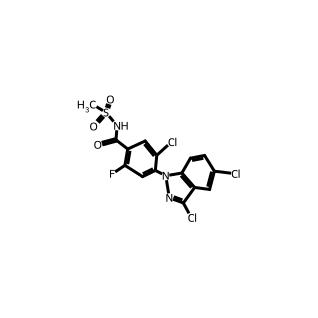 CS(=O)(=O)NC(=O)c1cc(Cl)c(-n2nc(Cl)c3cc(Cl)ccc32)cc1F